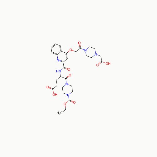 CCOC(=O)N1CCN(C(=O)C(CCC(=O)O)NC(=O)c2cc(OCC(=O)N3CCN(CC(=O)O)CC3)c3ccccc3n2)CC1